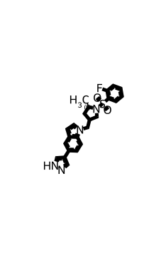 C[C@H]1CC(Cn2ccc3cc(-c4cn[nH]c4)ccc32)CN1S(=O)(=O)c1ccccc1F